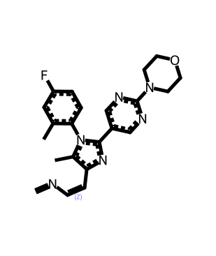 C=N/C=C\c1nc(-c2cnc(N3CCOCC3)nc2)n(-c2ccc(F)cc2C)c1C